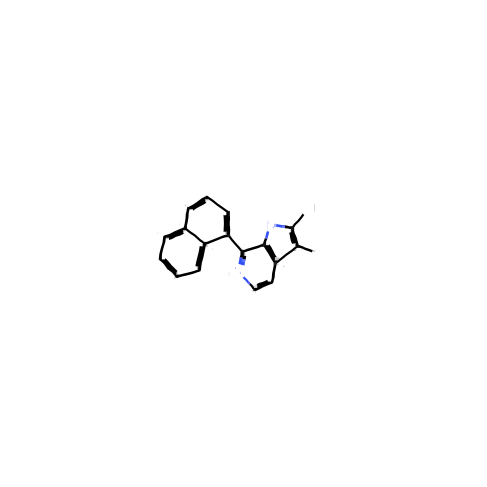 Cc1[nH]c2c(-c3cccc4ccccc34)nccc2c1C